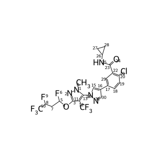 Cn1nc(OC(F)CC(F)C(F)(F)F)c(C(F)(F)F)c1-n1cc(-c2ccc(Cl)c(C(=O)NC3CC3)c2)cn1